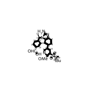 COc1ncc(-c2ccc3nc(N)n([C@H](C)c4ccccc4)c3c2)cc1S(=O)(=O)N(C)C(C)(C)C.O=CO